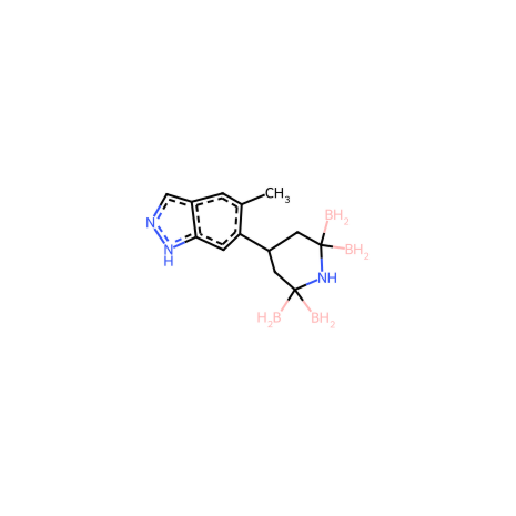 BC1(B)CC(c2cc3[nH]ncc3cc2C)CC(B)(B)N1